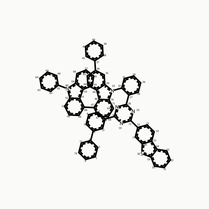 c1ccc(-c2cccc(-c3nc(-c4ccc5c(c4)sc4ccccc45)nc(-c4ccccc4-n4c5cc(-c6ccccc6)ccc5c5c(-c6cccc7c6c6ccccc6n7-c6ccccc6)cccc54)n3)c2)cc1